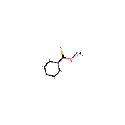 [SiH3]OC(=S)C1CCCCC1